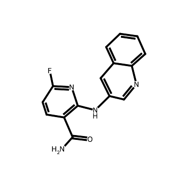 NC(=O)c1ccc(F)nc1Nc1cnc2ccccc2c1